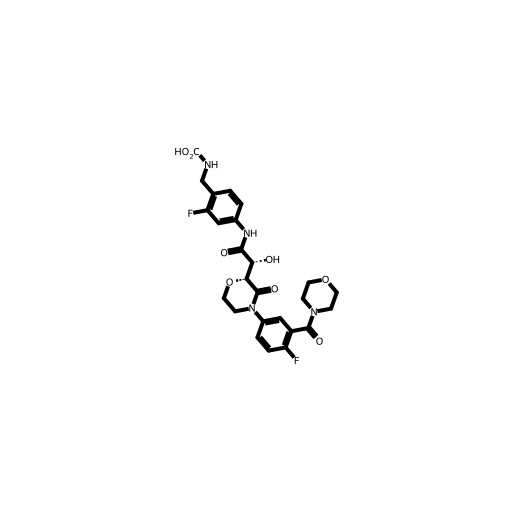 O=C(O)NCc1ccc(NC(=O)[C@H](O)[C@H]2OCCN(c3ccc(F)c(C(=O)N4CCOCC4)c3)C2=O)cc1F